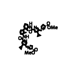 COC(=O)[C@H]1CCN(Cc2cnc(C(=O)Nc3cccc(-c4cccc(NC(=O)c5cc(C6CC6)c(CN6CC[C@H](C(=O)OC)C6)cn5)c4C)c3C)cc2C2CC2)C1